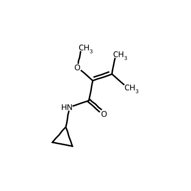 COC(C(=O)NC1CC1)=C(C)C